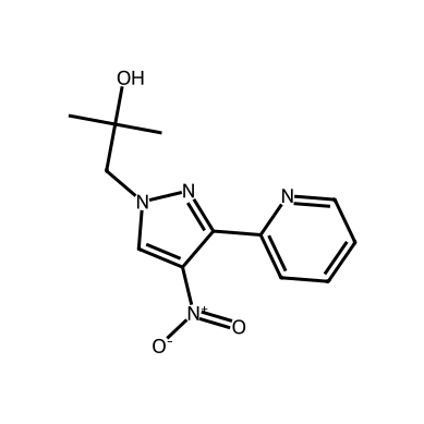 CC(C)(O)Cn1cc([N+](=O)[O-])c(-c2ccccn2)n1